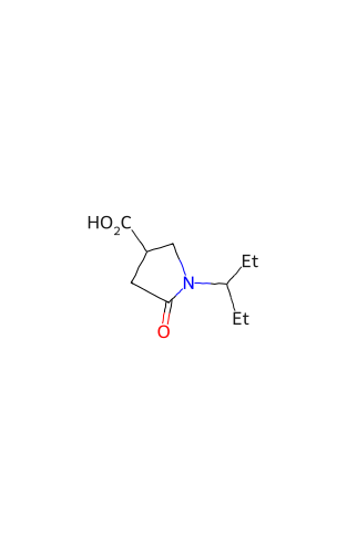 CCC(CC)N1CC(C(=O)O)CC1=O